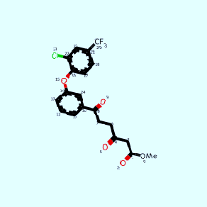 COC(=O)CC(=O)CCC(=O)c1cccc(Oc2ccc(C(F)(F)F)cc2Cl)c1